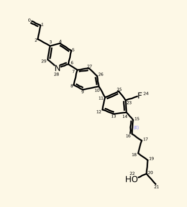 C=CCc1ccc(-c2ccc(-c3ccc(/C=C/CCCC(C)O)c(F)c3)cc2)nc1